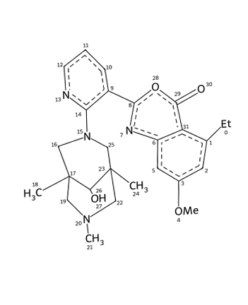 CCc1cc(OC)cc2nc(-c3cccnc3N3CC4(C)CN(C)CC(C)(C3)C4O)oc(=O)c12